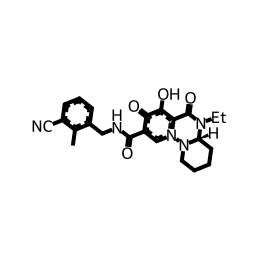 CCN1C(=O)c2c(O)c(=O)c(C(=O)NCc3cccc(C#N)c3C)cn2N2CCCC[C@@H]12